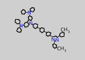 Cc1cccc(-c2cc(-c3ccc(-c4ccc(-c5ccc(-n6c7ccc(N(c8ccccc8)c8ccccc8)cc7c7cc(N(c8ccccc8)c8ccccc8)ccc76)cc5)cc4)cc3)nc(-c3cccc(C)c3)n2)c1